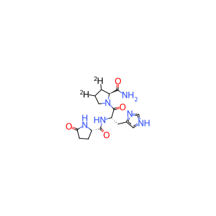 [2H]C1CN(C(=O)[C@H](Cc2c[nH]cn2)NC(=O)[C@@H]2CCC(=O)N2)[C@H](C(N)=O)C1[2H]